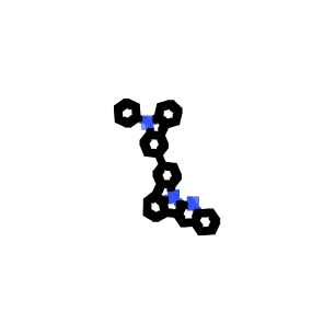 c1ccc(-n2c3ccccc3c3cc(-c4ccc5c(c4)c4cccc6c7cc8ccccc8nc7n5c46)ccc32)cc1